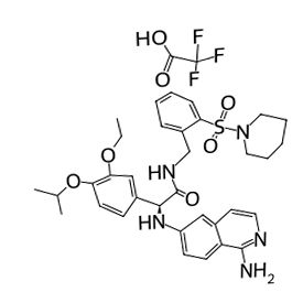 CCOc1cc([C@H](Nc2ccc3c(N)nccc3c2)C(=O)NCc2ccccc2S(=O)(=O)N2CCCCC2)ccc1OC(C)C.O=C(O)C(F)(F)F